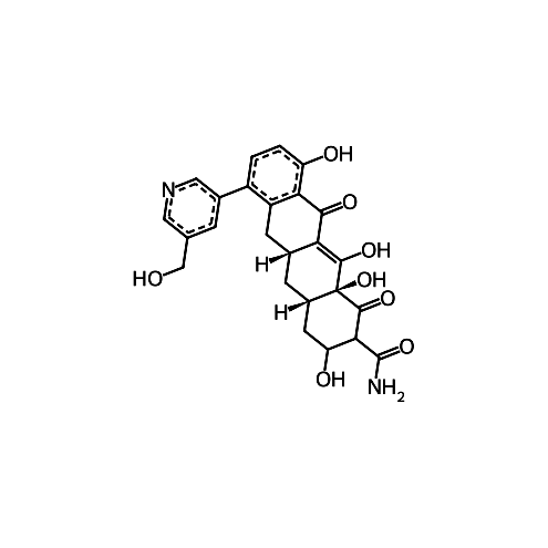 NC(=O)C1C(=O)[C@@]2(O)C(O)=C3C(=O)c4c(O)ccc(-c5cncc(CO)c5)c4C[C@H]3C[C@H]2CC1O